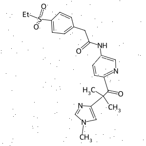 CCS(=O)(=O)c1ccc(CC(=O)Nc2ccc(C(=O)C(C)(C)c3cn(C)cn3)nc2)cc1